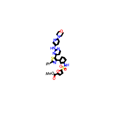 COC(=O)c1ccc(S(=O)(=O)Nc2cccc(-c3nc(C(C)C)sc3-c3ccnc(Nc4ccc(N5CCOCC5)nc4)n3)c2)o1